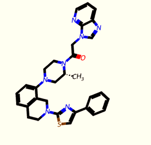 C[C@@H]1CN(c2cccc3c2CN(c2nc(-c4ccccc4)cs2)CC3)CCN1C(=O)Cn1cnc2cccnc21